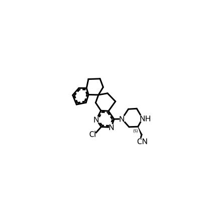 N#CC[C@H]1CN(c2nc(Cl)nc3c2CCC2(CCCc4ccccc42)C3)CCN1